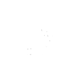 CCCCCCCCCCCCCCCCOP(=O)(O)O.CCCCCCCCCCCCCCCCOP(=O)(O)O.OCCNCCO